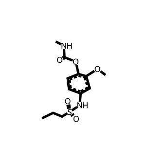 CCCS(=O)(=O)Nc1ccc(OC(=O)NC)c(OC)c1